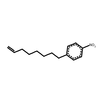 C=CCCCCCCc1ccc([N+](=O)[O-])cc1